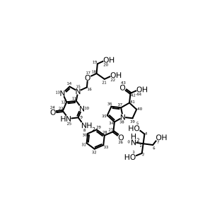 NC(CO)(CO)CO.Nc1nc2c(ncn2COC(CO)CO)c(=O)[nH]1.O=C(c1ccccc1)c1ccc2n1CCC2C(=O)O